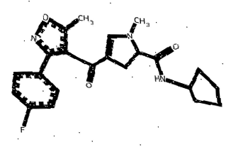 Cc1onc(-c2ccc(F)cc2)c1C(=O)C1=CN(C)C(C(=O)NC2CCCC2)C1